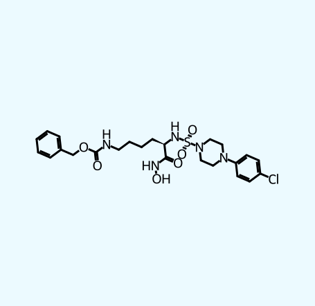 O=C(NCCCC[C@@H](NS(=O)(=O)N1CCN(c2ccc(Cl)cc2)CC1)C(=O)NO)OCc1ccccc1